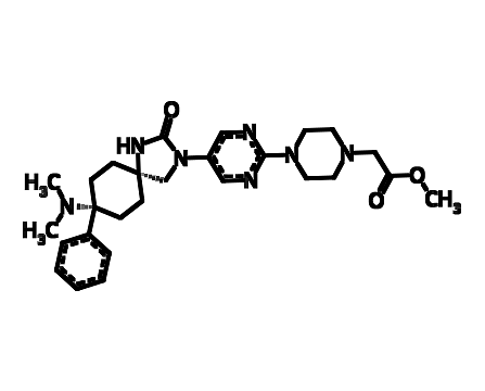 COC(=O)CN1CCN(c2ncc(N3C[C@]4(CC[C@@](c5ccccc5)(N(C)C)CC4)NC3=O)cn2)CC1